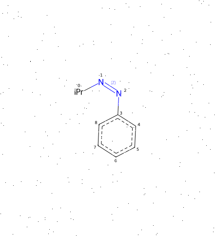 CC(C)/N=N\c1ccccc1